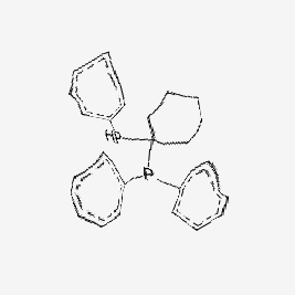 c1ccc(PC2(P(c3ccccc3)c3ccccc3)CCCCC2)cc1